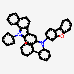 c1ccc(-c2ccccc2N(c2ccc3c(c2)oc2ccccc23)c2ccc3c(c2)c2ccc4ccccc4c2n3-c2ccccc2)cc1